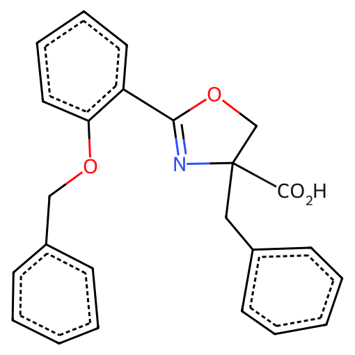 O=C(O)C1(Cc2ccccc2)COC(c2ccccc2OCc2ccccc2)=N1